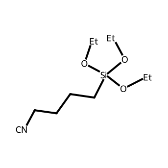 [C-]#[N+]CCCC[Si](OCC)(OCC)OCC